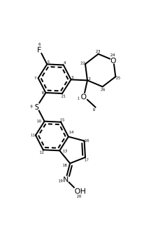 COC1(c2cc(F)cc(Sc3ccc4c(c3)C=CC4=NO)c2)CCOCC1